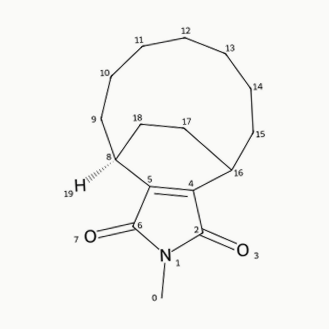 CN1C(=O)C2=C(C1=O)[C@H]1CCCCCCCC2CC1